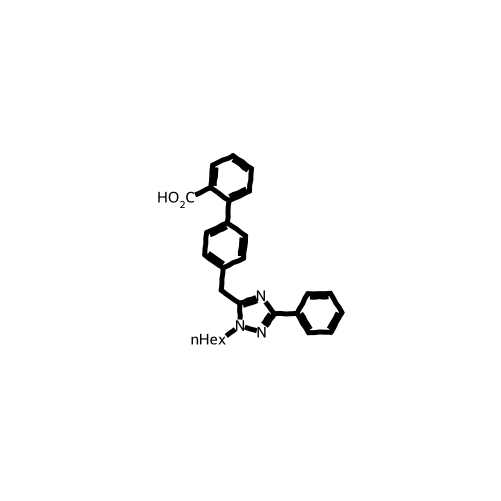 CCCCCCn1nc(-c2ccccc2)nc1Cc1ccc(-c2ccccc2C(=O)O)cc1